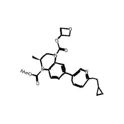 COC(=O)N1c2ccc(-c3ccc(CC4CC4)nc3)cc2N(C(=O)OC2COC2)C[C@@H]1C